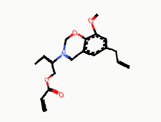 C=CCc1cc2c(c(OC)c1)OCN(C(CC)COC(=O)C=C)C2